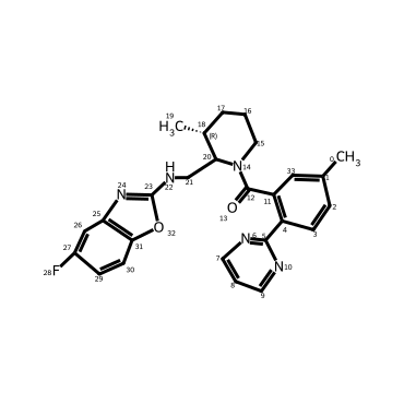 Cc1ccc(-c2ncccn2)c(C(=O)N2CCC[C@@H](C)C2CNc2nc3cc(F)ccc3o2)c1